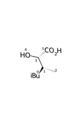 CC[C@H](C)[C@@H](C)[C@H](O)C(=O)O